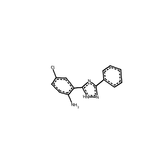 Nc1ccc(Cl)cc1-c1nc(-c2ccccc2)n[nH]1